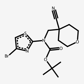 CC(C)(C)OC(=O)N(CC1(C#N)CCOCC1)c1nc(Br)cs1